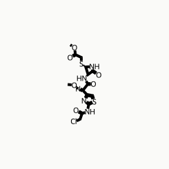 CON=C(C(=O)N[C@@H]1C(=O)N[C@@H]1SCC(=O)OC)c1csc(NC(=O)CCl)n1